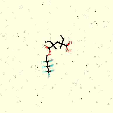 CCC(C)(CC(C)(CC)C(=O)OCC(F)(F)C(F)(F)C(F)(F)F)C(=O)O